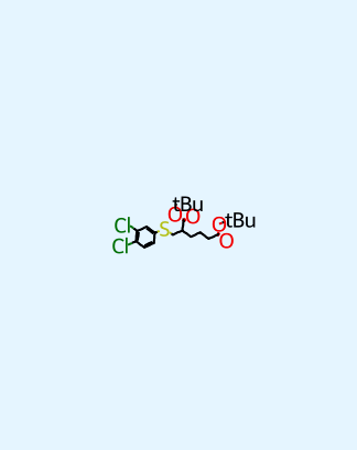 CC(C)(C)OC(=O)CCCC(CSc1ccc(Cl)c(Cl)c1)C(=O)OC(C)(C)C